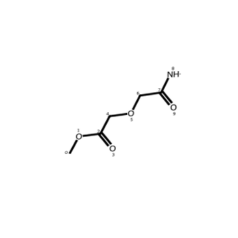 COC(=O)COCC([NH])=O